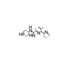 C=C(C)C(/N=C(\C)C(=N)NC1CCPCC1)=C(CC)\N=C/C